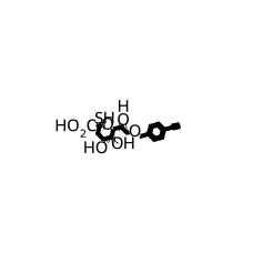 C#Cc1ccc(COC[C@@H](O)C2O[C@@](S)(C(=O)O)CC(O)[C@H]2O)cc1